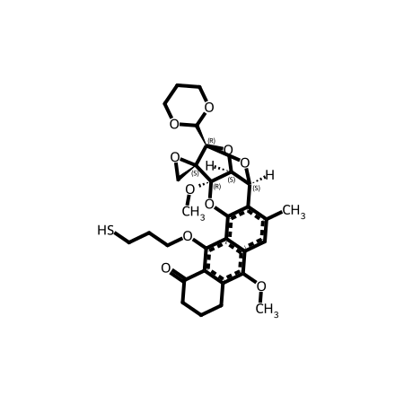 COc1c2c(c(OCCCS)c3c4c(c(C)cc13)[C@@H]1O[C@@]3(C5OCCCO5)O[C@@H]1[C@@](OC)(O4)[C@@]31CO1)C(=O)CCC2